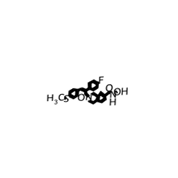 CSc1ccc(/C=C(\C(=O)N2CCc3ccc(C(=O)NO)cc3C2)c2ccc(F)cc2)cc1